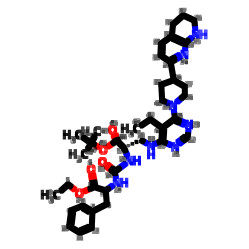 CCOC(=O)C(Cc1ccccc1)NC(=O)N[C@@H](CNc1ncnc(N2CCC(c3ccc4c(n3)NCCC4)CC2)c1CC)C(=O)OC(C)(C)C